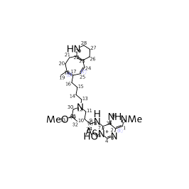 CN/C=C1/N=C[N+](O)=C(N[C@@H](CCN(CCCCC2=C(\C)CCC3=C(/C=C\2)CCCN3)C[C@@H](C)OC)C(C)=O)C1=N